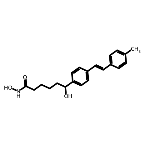 Cc1ccc(C=Cc2ccc(C(O)CCCCC(=O)NO)cc2)cc1